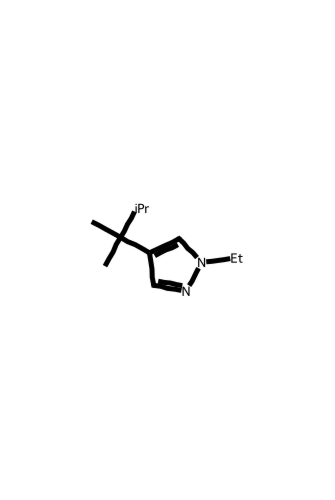 CCn1cc(C(C)(C)C(C)C)cn1